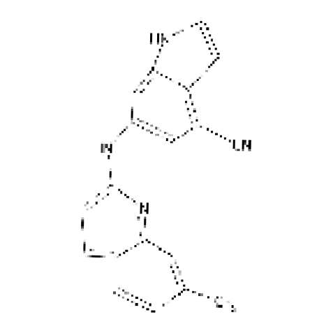 N#Cc1cc(Nc2ccc3ccc(C(F)(F)F)cc3n2)cc2[nH]ccc12